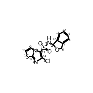 O=S(=O)(NC1OCc2ccccc21)c1c(Cl)nc2sccn12